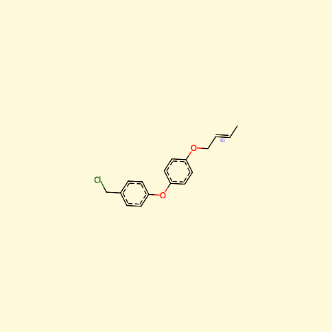 C/C=C/COc1ccc(Oc2ccc(CCl)cc2)cc1